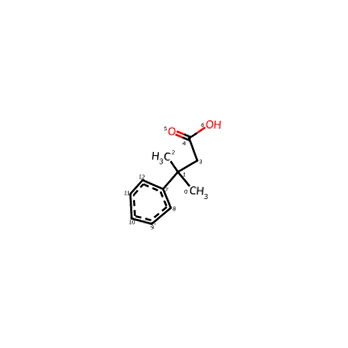 CC(C)(CC(=O)O)c1c[c]ccc1